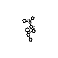 C1=CC(C2N=C(c3ccc4c(c3)oc3cccc(-n5c6c(c7c5CC(c5ccccc5)C=C7)CCC=C6)c34)N=C(c3ccccc3)N2)=CCC1